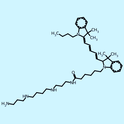 CCCCN1/C(=C/C=C/C=C/C2N(CCCCCC(=O)NCCCNCCCCNCCCN)c3ccccc3C2(C)C)C(C)(C)c2ccccc21